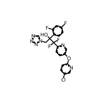 OC(Cn1cnnn1)(c1ccc(F)cc1F)C(F)(F)c1ccc(Oc2ccc(Cl)cn2)cn1